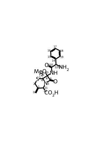 C=C1CS[C@@H]2N(C(=O)C2(NC(=O)C(N)c2ccccc2)OC)C1C(=O)O